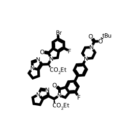 CCOC(=O)[C@@H](c1ncn2c1CCC2)N1Cc2c(F)cc(-c3ccc(N4CCN(C(=O)OC(C)(C)C)CC4)cc3)cc2C1=O.CCOC(=O)[C@@H](c1ncn2c1CCC2)N1Cc2c(F)cc(Br)cc2C1=O